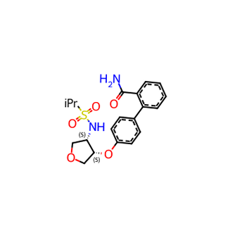 CC(C)S(=O)(=O)N[C@H]1COC[C@H]1Oc1ccc(-c2ccccc2C(N)=O)cc1